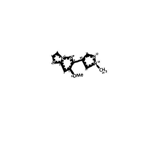 COc1cc2nccn2nc1-c1cnn(C)c1